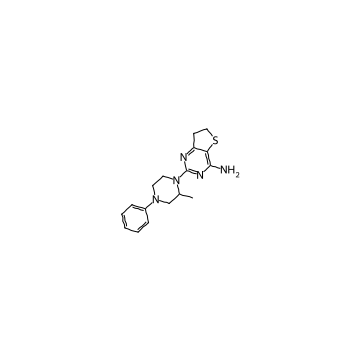 CC1CN(c2ccccc2)CCN1c1nc(N)c2c(n1)CCS2